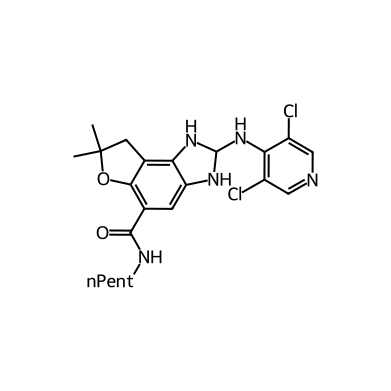 CCCCCNC(=O)c1cc2c(c3c1OC(C)(C)C3)NC(Nc1c(Cl)cncc1Cl)N2